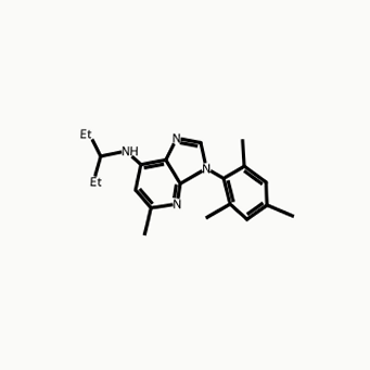 CCC(CC)Nc1cc(C)nc2c1ncn2-c1c(C)cc(C)cc1C